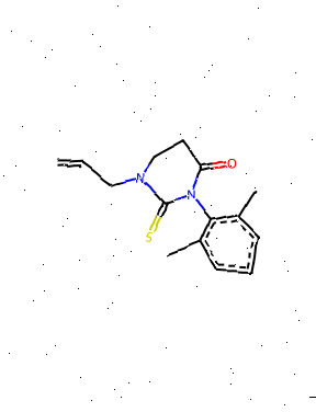 C=CCN1CCC(=O)N(c2c(C)cccc2C)C1=S